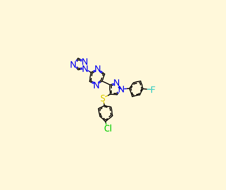 Fc1ccc(-n2cc(Sc3ccc(Cl)cc3)c(-c3cnc(-n4cncn4)cn3)n2)cc1